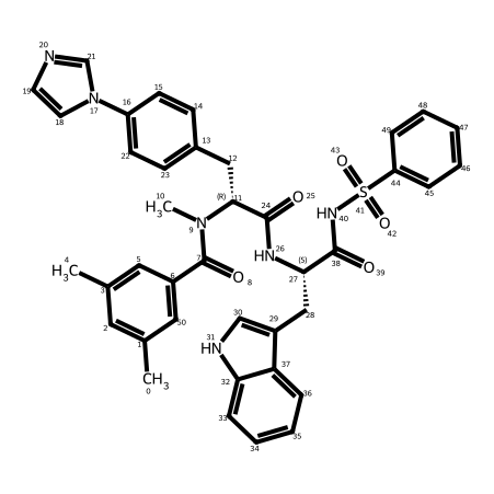 Cc1cc(C)cc(C(=O)N(C)[C@H](Cc2ccc(-n3ccnc3)cc2)C(=O)N[C@@H](Cc2c[nH]c3ccccc23)C(=O)NS(=O)(=O)c2ccccc2)c1